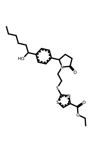 CCCCCC(O)c1ccc(C2CCC(=O)N2CCSc2nc(C(=O)OCC)cs2)cc1